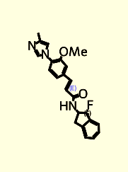 COc1cc(/C=C/C(=O)NC2Cc3ccccc3[C@@H]2F)ccc1-n1cnc(C)c1